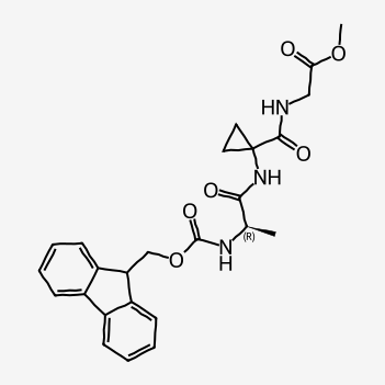 COC(=O)CNC(=O)C1(NC(=O)[C@@H](C)NC(=O)OCC2c3ccccc3-c3ccccc32)CC1